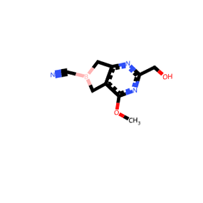 COc1nc(CO)nc2c1CB(C#N)C2